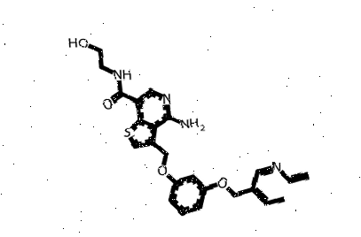 C=C/N=C\C(=C/C)COc1cccc(OCc2csc3c(C(=O)NCCO)cnc(N)c23)c1